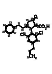 C=CCc1cc(Cl)c(C2N(CCc3ccccc3)CC(=O)N2C(=O)O)c(Cl)c1